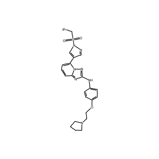 CC(C)CS(=O)(=O)n1cc(-c2cccc3nc(Nc4ccc(OCCN5CCCC5)cc4)nn23)cn1